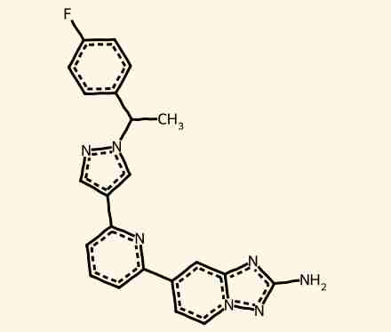 CC(c1ccc(F)cc1)n1cc(-c2cccc(-c3ccn4nc(N)nc4c3)n2)cn1